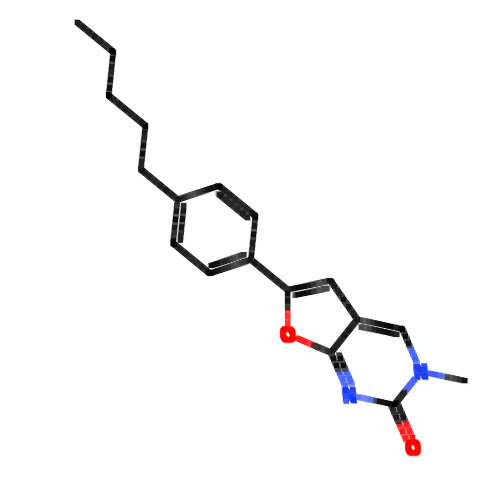 CCCCCc1ccc(-c2cc3cn(C)c(=O)nc3o2)cc1